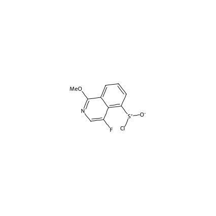 COc1ncc(F)c2c([S+]([O-])Cl)cccc12